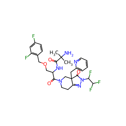 CC(C)(N)C(=O)NC(COCc1ccc(F)cc1F)C(=O)N1CCC2=NN(C(F)C(F)F)C(=O)C2(Cc2ccccn2)C1